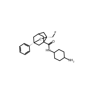 NC1CCC(NC(=O)C23CC4C[C@](c5ccccc5)(C2)C[C@@]3(CF)C4)CC1